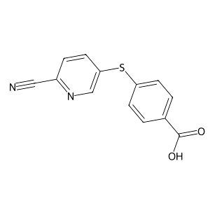 N#Cc1ccc(Sc2ccc(C(=O)O)cc2)cn1